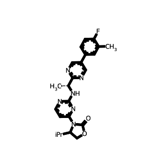 Cc1cc(-c2cnc([C@@H](C)Nc3nccc(N4C(=O)OCC4C(C)C)n3)nc2)ccc1F